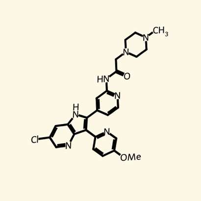 COc1ccc(-c2c(-c3ccnc(NC(=O)CN4CCN(C)CC4)c3)[nH]c3cc(Cl)cnc23)nc1